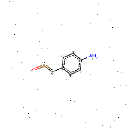 Nc1ccc([C]=S=O)cc1